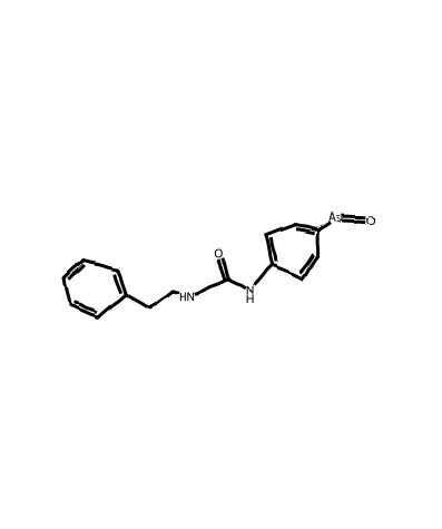 O=[As]c1ccc(NC(=O)NCCc2ccccc2)cc1